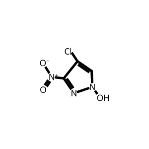 O=[N+]([O-])c1nn(O)cc1Cl